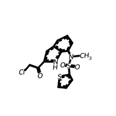 CN(c1cccc2cc(C(=O)CCl)[nH]c12)S(=O)(=O)c1cccs1